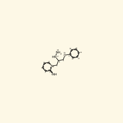 N=c1ccccn1CC(COc1ccccc1)NN